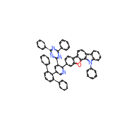 c1ccc(-c2nc(-c3ccccc3)nc(-c3cc(-c4c(-c5ccccc5)cccc4-c4ccccc4)cnc3-c3ccc4c(c3)oc3c4ccc4c5ccccc5n(-c5ccccc5)c43)n2)cc1